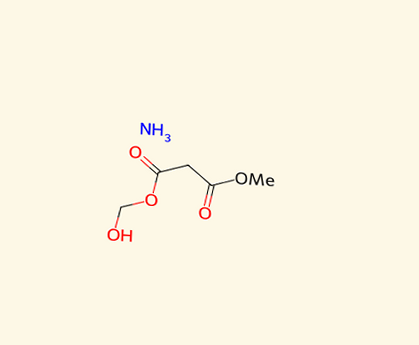 COC(=O)CC(=O)OCO.N